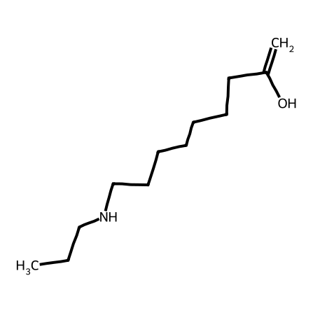 C=C(O)CCCCCCCNCCC